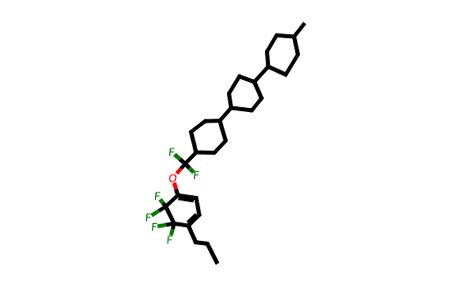 CCCC1=CC=C(OC(F)(F)C2CCC(C3CCC(C4CCC(C)CC4)CC3)CC2)C(F)(F)C1(F)F